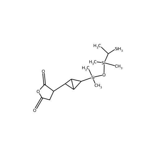 CC([SiH3])[Si](C)(C)O[Si](C)(C)C1C2C(C3CC(=O)OC3=O)C21